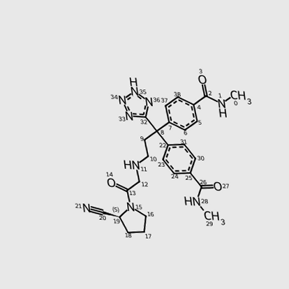 CNC(=O)c1ccc(C(CCNCC(=O)N2CCC[C@H]2C#N)(c2ccc(C(=O)NC)cc2)c2nn[nH]n2)cc1